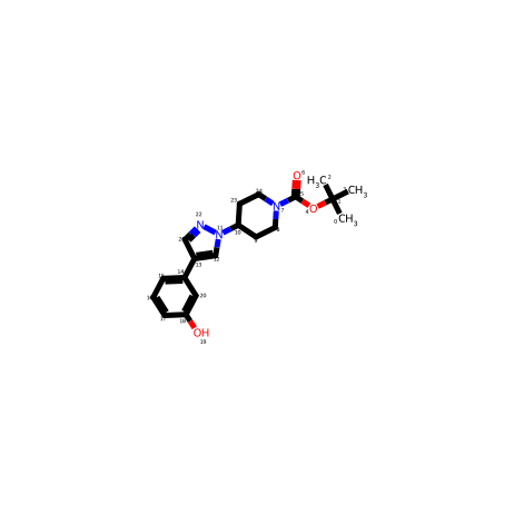 CC(C)(C)OC(=O)N1CCC(n2cc(-c3cccc(O)c3)cn2)CC1